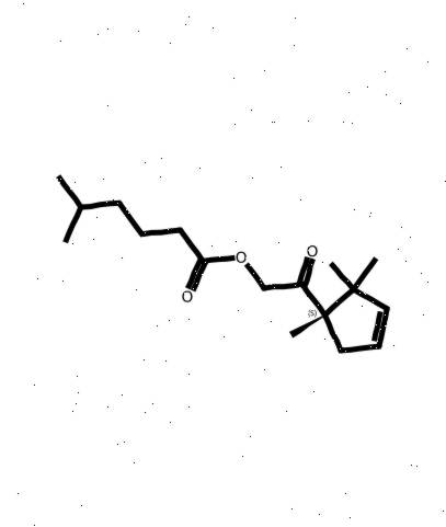 CC(C)CCCC(=O)OCC(=O)[C@@]1(C)CC=CC1(C)C